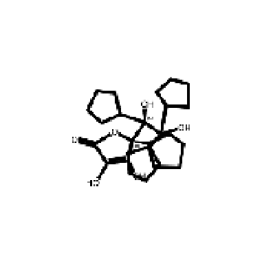 O=C1O[C@](C2CCCC2)([C@](O)(C2CCCC2)C(O)(C2CCCC2)C2CCCC2)C(O)=C1O